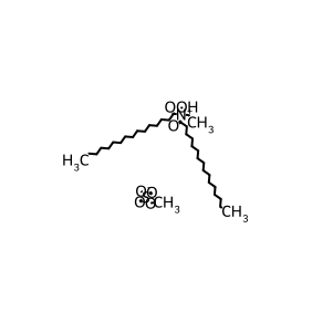 CCCCCCCCCCCCCCCC(=O)[N+](O)(CC)C(=O)CCCCCCCCCCCCCCC.COS(=O)(=O)[O-]